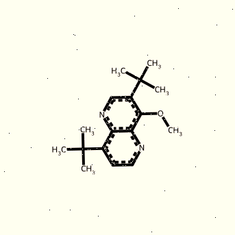 COc1c(C(C)(C)C)cnc2c(C(C)(C)C)ccnc12